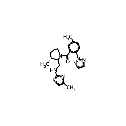 Cc1ccc(-n2nccn2)c(C(=O)N2CCC[C@@H](C)C2CNc2nc(C)cs2)c1